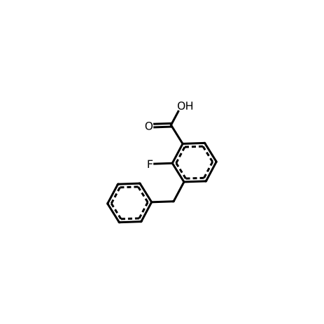 O=C(O)c1cccc(Cc2ccccc2)c1F